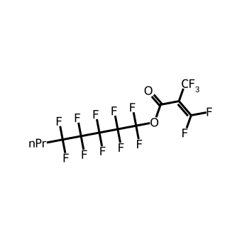 CCCC(F)(F)C(F)(F)C(F)(F)C(F)(F)C(F)(F)OC(=O)C(=C(F)F)C(F)(F)F